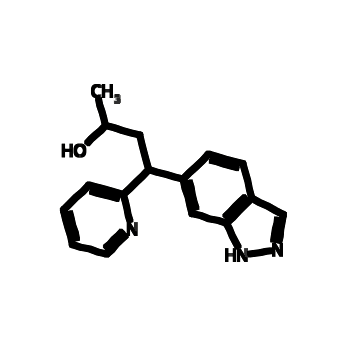 CC(O)CC(c1ccc2cn[nH]c2c1)c1ccccn1